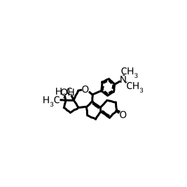 CN(C)c1ccc(C2OCC3(C)C(CCC3(C)O)C3CCC4=CC(=O)CCC4=C23)cc1